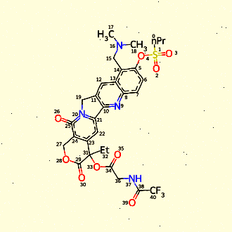 CCCS(=O)(=O)Oc1ccc2nc3c(cc2c1CN(C)C)Cn1c-3cc2c(c1=O)COC(=O)C2(CC)OC(=O)CNC(=O)C(F)(F)F